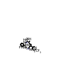 CC(/C(=C/Nc1ccc(F)cc1F)N=N)c1cc(-c2cnc(C(F)(F)F)nc2)c(/C(N)=N\C=N)[nH]1